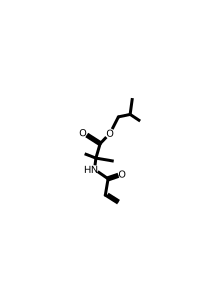 C=CC(=O)NC(C)(C)C(=O)OCC(C)C